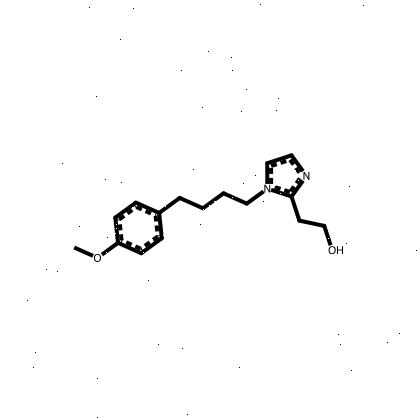 COc1ccc(CCCCn2ccnc2CCO)cc1